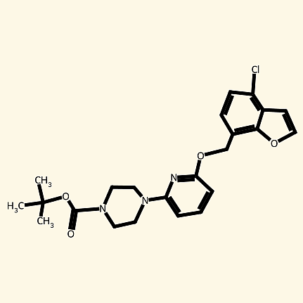 CC(C)(C)OC(=O)N1CCN(c2cccc(OCc3ccc(Cl)c4ccoc34)n2)CC1